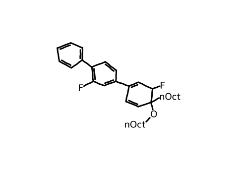 CCCCCCCCOC1(CCCCCCCC)C=CC(c2ccc(-c3ccccc3)c(F)c2)=CC1F